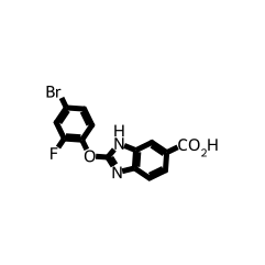 O=C(O)c1ccc2nc(Oc3ccc(Br)cc3F)[nH]c2c1